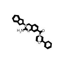 NC1=Nc2cc(C(=O)N3C=COC(C4=CC=CCC4)=C3)ccc2CN1C1Cc2ccccc2C1